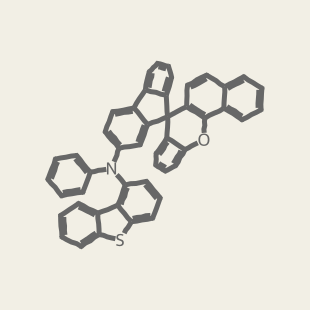 c1ccc(N(c2ccc3c(c2)C2(c4ccccc4Oc4c2ccc2ccccc42)c2ccccc2-3)c2cccc3sc4ccccc4c23)cc1